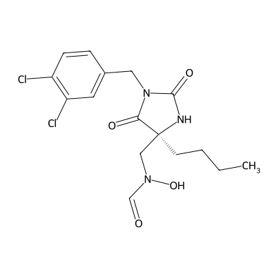 CCCC[C@@]1(CN(O)C=O)NC(=O)N(Cc2ccc(Cl)c(Cl)c2)C1=O